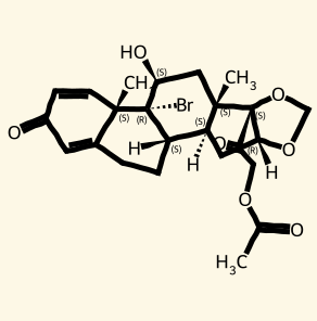 CC(=O)OCC(=O)[C@@]12OCO[C@@H]1C[C@H]1[C@@H]3CCC4=CC(=O)C=C[C@]4(C)[C@@]3(Br)[C@@H](O)C[C@@]12C